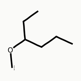 [C]OC(CC)CCC